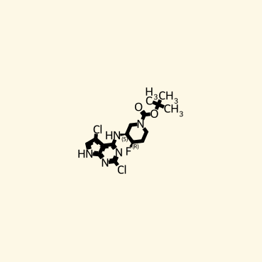 CC(C)(C)OC(=O)N1CC[C@@H](F)[C@@H](Nc2nc(Cl)nc3[nH]cc(Cl)c23)C1